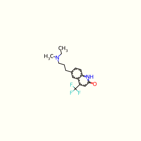 CCN(C)CCCc1ccc2[nH]c(=O)cc(C(F)(F)F)c2c1